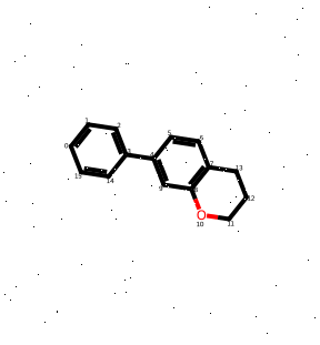 c1ccc(-c2ccc3c(c2)OCCC3)cc1